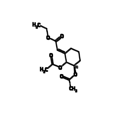 CCOC(=O)C=C1CCC[C@@H](OC(C)=O)C1OC(C)=O